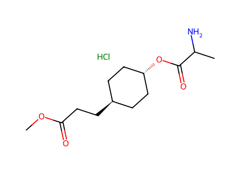 COC(=O)CC[C@H]1CC[C@H](OC(=O)C(C)N)CC1.Cl